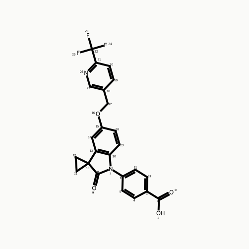 O=C(O)c1ccc(N2C(=O)C3(CC3)c3cc(OCc4ccc(C(F)(F)F)nc4)ccc32)cc1